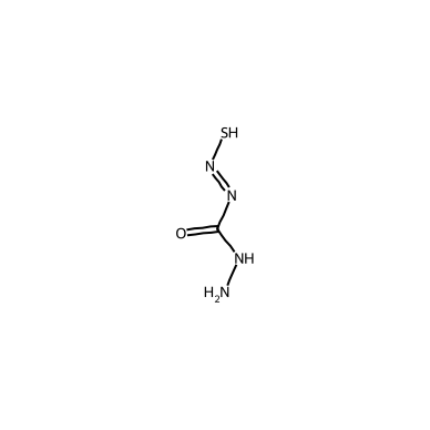 NNC(=O)N=NS